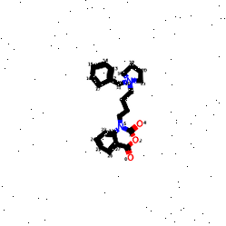 O=c1oc(=O)n(CCCC[N+]2(Cc3ccccc3)CCCC2)c2ccccc12